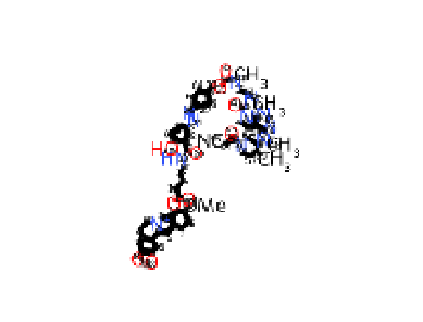 COc1ccc2cc3[n+](cc2c1OC(=O)CCCCNC(=O)c1cc(/N=N/c2ccc(COC(=O)N(C)CCN(C)C(=O)n4ccc5c(N(C)[C@H]6CN(C(=O)CC#N)CC[C@H]6C)ncnc54)cc2)ccc1O)CCc1cc2c(cc1-3)OCO2